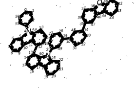 c1ccc(-n2c3ccccc3c3c(-c4cccc5c6ccccc6n(-c6cccc(-c7cccc(-c8ccc9oc%10ccccc%10c9c8)c7)c6)c45)cccc32)cc1